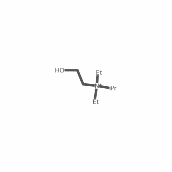 CC[N+](CC)(CCO)C(C)C